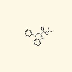 CC(C)OC(=O)c1cc(-c2ccccc2)c2ccccc2n1